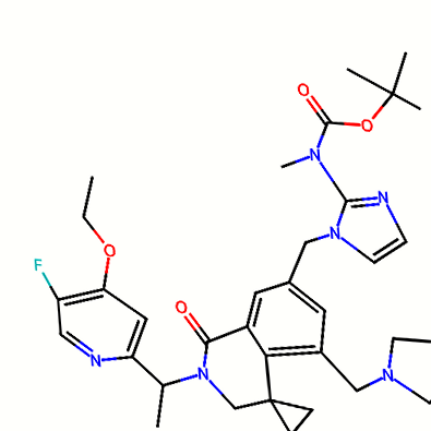 CCOc1cc(C(C)N2CC3(CC3)c3c(CN4CCCC4)cc(Cn4ccnc4N(C)C(=O)OC(C)(C)C)cc3C2=O)ncc1F